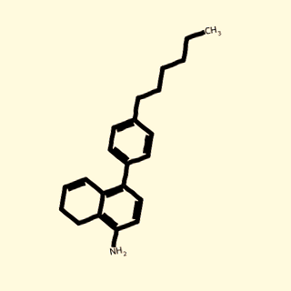 CCCCCCc1ccc(-c2ccc(N)c3c2C=CCC3)cc1